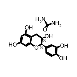 NC(N)=O.Oc1cc(O)c2c(c1)O[C@H](c1ccc(O)c(O)c1)[C@H](O)C2